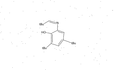 CC(C)(C)/C=N\c1cc(C(C)(C)C)cc(C(C)(C)C)c1O